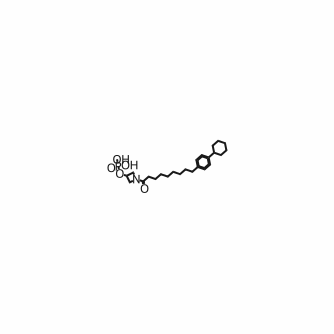 O=C(CCCCCCCCc1ccc(C2CCCCC2)cc1)N1CC(OP(=O)(O)O)C1